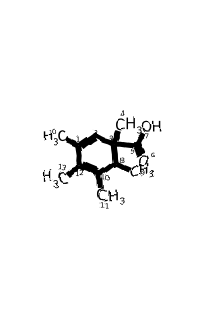 CC1=CC(C)(C(=O)O)C(C)C(C)=C1C